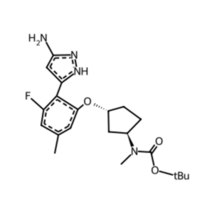 Cc1cc(F)c(-c2cc(N)n[nH]2)c(O[C@@H]2CC[C@@H](N(C)C(=O)OC(C)(C)C)C2)c1